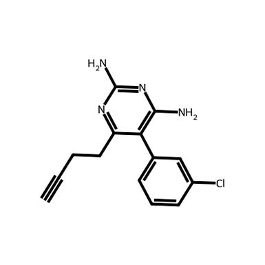 C#CCCc1nc(N)nc(N)c1-c1cccc(Cl)c1